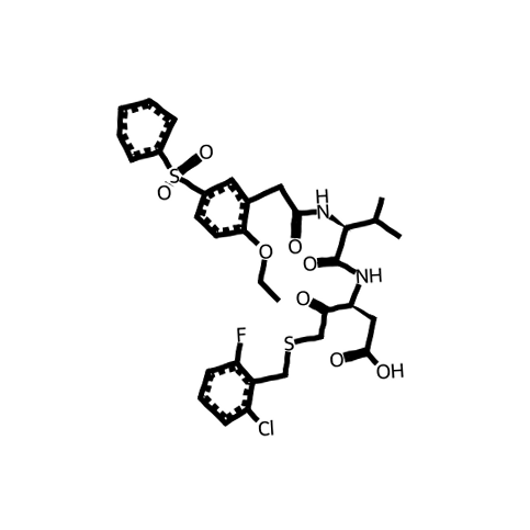 CCOc1ccc(S(=O)(=O)c2ccccc2)cc1CC(=O)N[C@H](C(=O)N[C@@H](CC(=O)O)C(=O)CSCc1c(F)cccc1Cl)C(C)C